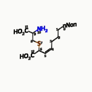 CCCCCCCCCCCC/C=C\C(SCC(N)C(=O)O)C(=O)O